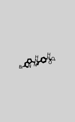 COC(=O)Nc1ccc(-c2cnc(C3CCc4cc(Br)cnc43)[nH]2)cc1